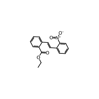 CCOC(=O)c1ccccc1C=Cc1ccccc1[N+](=O)[O-]